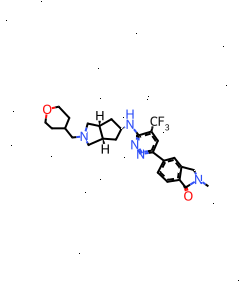 CN1Cc2cc(-c3cc(C(F)(F)F)c(N[C@@H]4C[C@@H]5CN(CC6CCOCC6)C[C@@H]5C4)nn3)ccc2C1=O